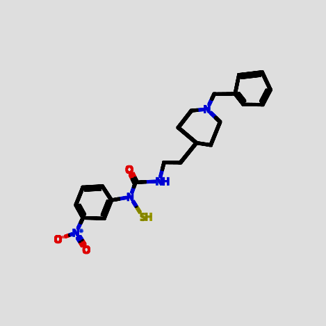 O=C(NCCC1CCN(Cc2ccccc2)CC1)N(S)c1cccc([N+](=O)[O-])c1